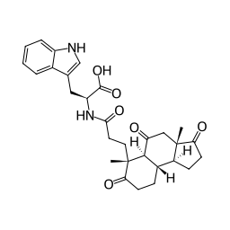 C[C@]1(CCC(=O)N[C@@H](Cc2c[nH]c3ccccc23)C(=O)O)C(=O)CC[C@@H]2[C@@H]1C(=O)C[C@]1(C)C(=O)CC[C@@H]21